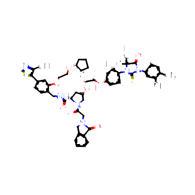 Cc1ncsc1-c1ccc(CNC(=O)[C@@H]2C[C@@H](O)CN2C(=O)CN2Cc3ccccc3C2=O)c(OCCO[C@@H]2CCC[C@@H]2OCCOc2ccc(N3C(=S)N(c4ccc(C#N)c(C(F)(F)F)c4)C(=O)C3(C)C)cc2)c1